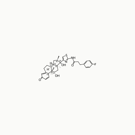 C[C@@H]1C[C@H]2[C@@H]3CCC4=CC(=O)C=C[C@]4(C)[C@@]3(F)[C@@H](O)C[C@]2(C)[C@@]1(O)c1csc(NC(=O)CCc2ccc(F)cc2)n1